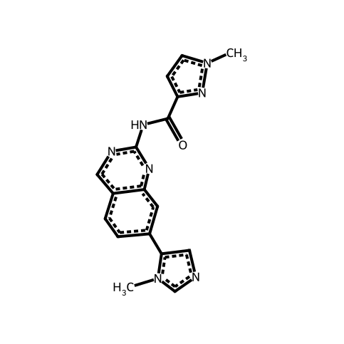 Cn1ccc(C(=O)Nc2ncc3ccc(-c4cncn4C)cc3n2)n1